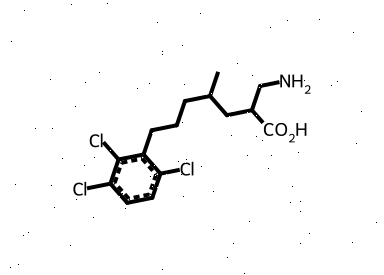 CC(CCCc1c(Cl)ccc(Cl)c1Cl)CC(CN)C(=O)O